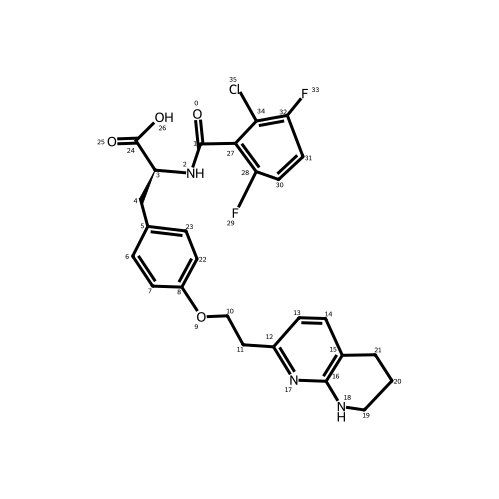 O=C(N[C@@H](Cc1ccc(OCCc2ccc3c(n2)NCCC3)cc1)C(=O)O)c1c(F)ccc(F)c1Cl